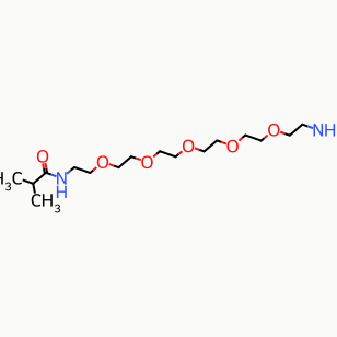 CC(C)C(=O)NCCOCCOCCOCCOCCOCCN